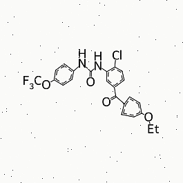 CCOc1ccc(C(=O)c2ccc(Cl)c(NC(=O)Nc3ccc(OC(F)(F)F)cc3)c2)cc1